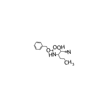 CCCC(NC(=O)OCc1ccccc1)C(O)C#N